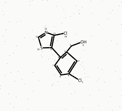 OCc1cc(Cl)ccc1-c1scnc1Cl